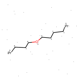 C[C](C)CCCCOCCCC(C)C